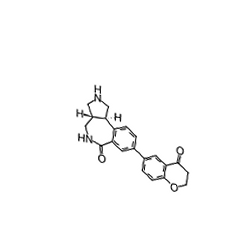 O=C1CCOc2ccc(-c3ccc4c(c3)C(=O)NC[C@@H]3CNC[C@@H]43)cc21